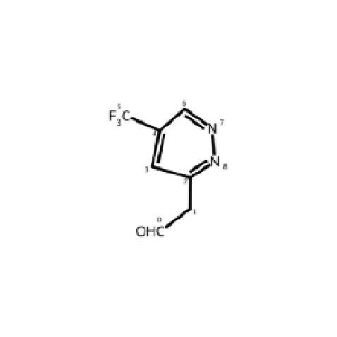 O=CCc1cc(C(F)(F)F)cnn1